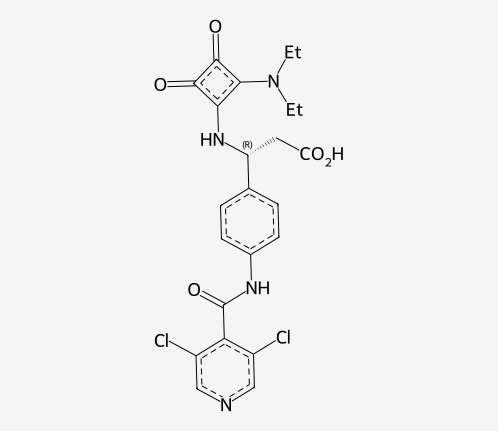 CCN(CC)c1c(N[C@H](CC(=O)O)c2ccc(NC(=O)c3c(Cl)cncc3Cl)cc2)c(=O)c1=O